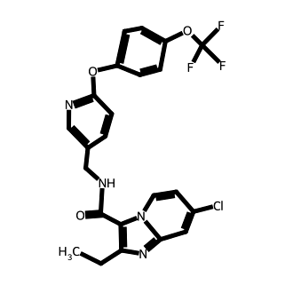 CCc1nc2cc(Cl)ccn2c1C(=O)NCc1ccc(Oc2ccc(OC(F)(F)F)cc2)nc1